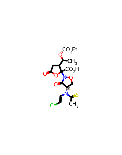 CCOC(=O)OC(C)C1CC(=O)OC1(C(=O)O)N1OC[C@H](N(C=CCl)C(C)=S)C1=O